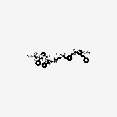 CN[C@@H](C)C(=O)N[C@H](C(=O)N1CCC[C@H]1C(=O)Nc1sc(NC(=O)CCCN(C)C(=O)Cc2cccc(CNC(=O)c3cc(/C=C/C4CCCCC4)c(OC)cn3)c2)nc1-c1ccccc1)C1CCCCC1